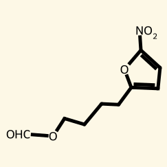 O=COCCCCc1ccc([N+](=O)[O-])o1